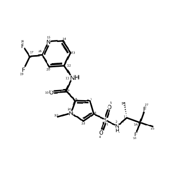 C[C@@H](NS(=O)(=O)c1cc(C(=O)Nc2ccnc(C(F)F)c2)n(C)c1)C(C)(F)F